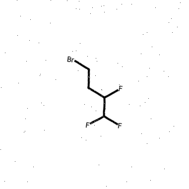 FC(F)C(F)CCBr